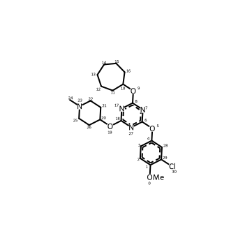 COc1ccc(Oc2nc(OC3CCCCCC3)nc(OC3CCN(C)CC3)n2)cc1Cl